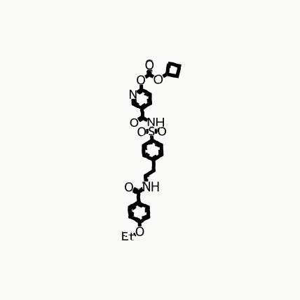 CCOc1ccc(C(=O)NCCc2ccc(S(=O)(=O)NC(=O)c3ccc(OC(=O)OC4CCC4)nc3)cc2)cc1